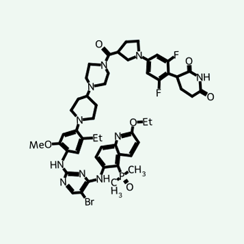 CCOc1ccc2c(P(C)(C)=O)c(Nc3nc(Nc4cc(CC)c(N5CCC(N6CCN(C(=O)C7CCN(c8cc(F)c(C9CCC(=O)NC9=O)c(F)c8)C7)CC6)CC5)cc4OC)ncc3Br)ccc2n1